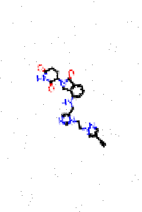 C#Cc1cnn(CCn2cncc2CNc2cccc3c2CN(C2CCC(=O)NC2=O)C3=O)c1